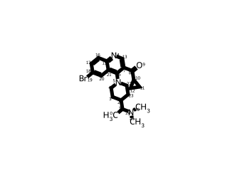 CC(C1CCN(c2c(C(=O)C3CC3)cnc3ccc(Br)cc23)CC1)N(C)C